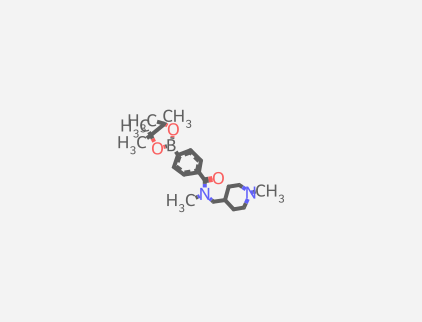 CN1CCC(CN(C)C(=O)c2ccc(B3OC(C)(C)C(C)(C)O3)cc2)CC1